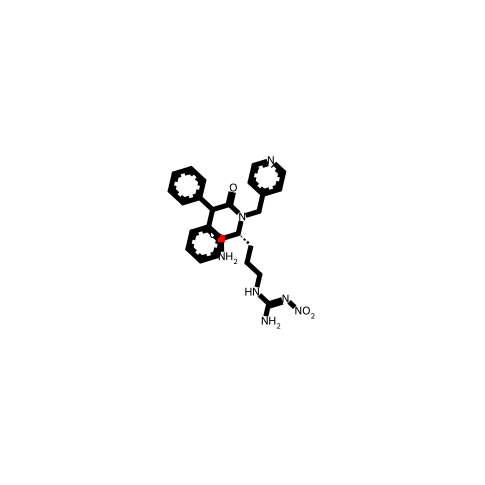 NC(=O)[C@@H](CCCNC(N)=N[N+](=O)[O-])N(Cc1ccncc1)C(=O)C(c1ccccc1)c1ccccc1